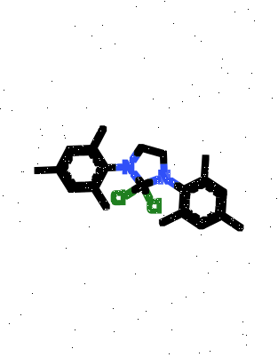 Cc1cc(C)c(N2CCN(c3c(C)cc(C)cc3C)C2(Cl)Cl)c(C)c1